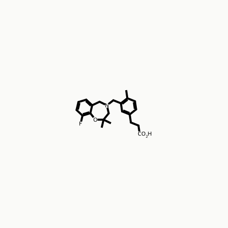 Cc1ccc(CCC(=O)O)cc1CN1Cc2cccc(F)c2OC(C)(C)C1